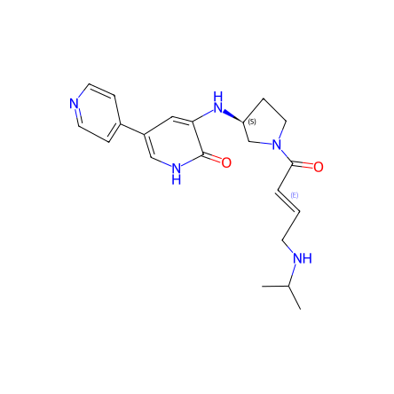 CC(C)NC/C=C/C(=O)N1CC[C@H](Nc2cc(-c3ccncc3)c[nH]c2=O)C1